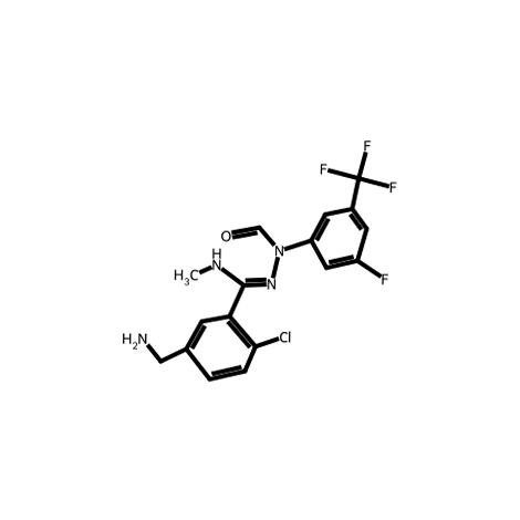 CN/C(=N\N(C=O)c1cc(F)cc(C(F)(F)F)c1)c1cc(CN)ccc1Cl